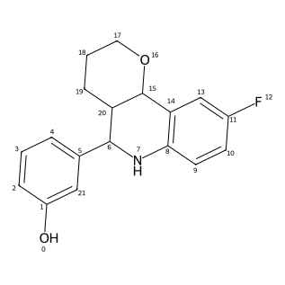 Oc1cccc(C2Nc3ccc(F)cc3C3OCCCC23)c1